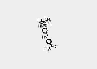 C[S+]([O-])c1ccc(NC[C@H]2CC[C@H](NS(=O)(=O)C(C)(C)C)CC2)cc1